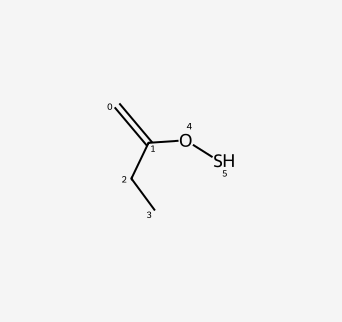 C=C(CC)OS